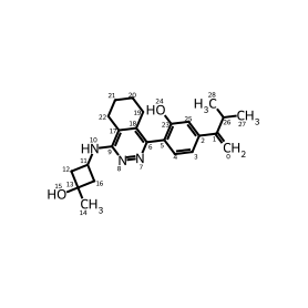 C=C(c1ccc(-c2nnc(NC3CC(C)(O)C3)c3c2CCCC3)c(O)c1)C(C)C